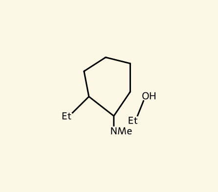 CCC1CCCCC1NC.CCO